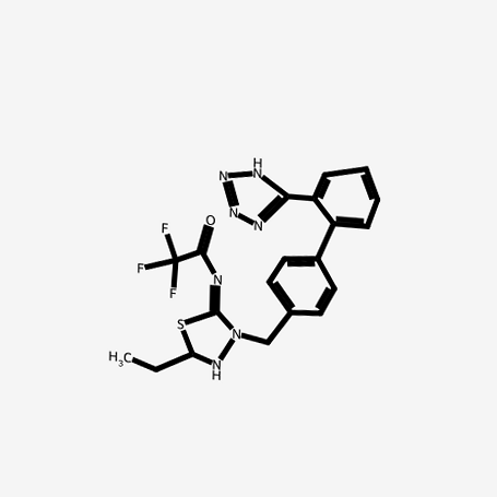 CCC1NN(Cc2ccc(-c3ccccc3-c3nnn[nH]3)cc2)C(=NC(=O)C(F)(F)F)S1